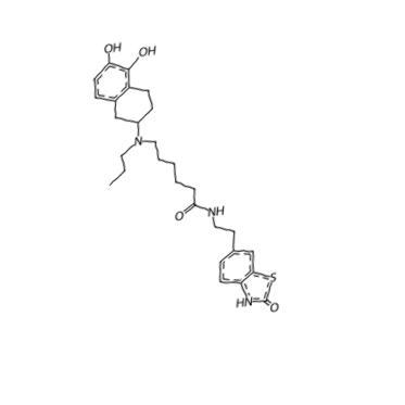 CCCN(CCCCCC(=O)NCCc1ccc2[nH]c(=O)sc2c1)C1CCc2c(ccc(O)c2O)C1